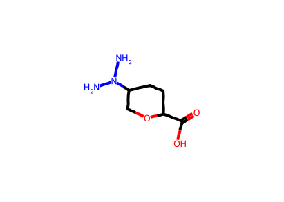 NN(N)C1CCC(C(=O)O)OC1